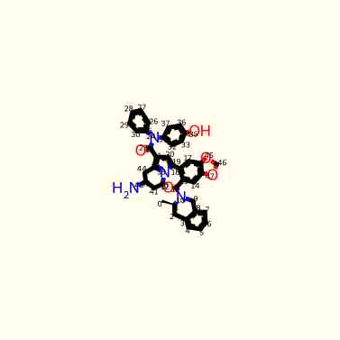 C[C@@H]1Cc2ccccc2CN1C(=O)c1cc2c(cc1-c1cc(C(=O)N(c3ccccc3)c3ccc(O)cc3)c3n1CCC(N)C3)OCO2